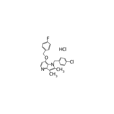 Cc1c(C)n(Cc2ccc(Cl)cc2)c2c(OCc3ccc(F)cc3)ccnc12.Cl